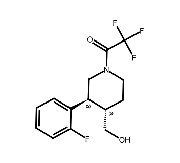 O=C(N1CC[C@H](CO)[C@@H](c2ccccc2F)C1)C(F)(F)F